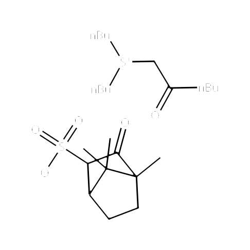 CC12CCC(C(S(=O)(=O)[O-])C1=O)C2(C)C.CCCCC(=O)C[S+](CCCC)CCCC